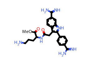 COC(=O)C(CCCN)NC(=O)Cc1c(-c2ccc(C(=N)N)cc2)[nH]c2cc(C(=N)N)ccc12